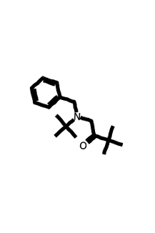 CC(C)(C)C(=O)CN(Cc1ccccc1)C(C)(C)C